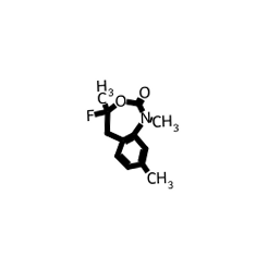 Cc1ccc2c(c1)N(C)C(=O)OC(C)(F)C2